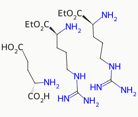 CCOC(=O)[C@@H](N)CCCNC(=N)N.CCOC(=O)[C@@H](N)CCCNC(=N)N.N[C@@H](CCC(=O)O)C(=O)O